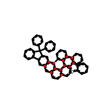 c1ccc(-c2ccccc2-c2c(-c3ccccc3)cccc2N(c2ccc3c(c2)C(c2ccccc2)(c2ccccc2)c2ccccc2-3)c2ccccc2-c2cccc3c2oc2ccccc23)cc1